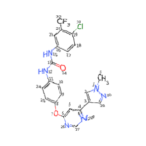 Cn1cc(-c2cc(Oc3ccc(NC(=O)Nc4ccc(Cl)c(C(F)(F)F)c4)cc3)ncn2)cn1